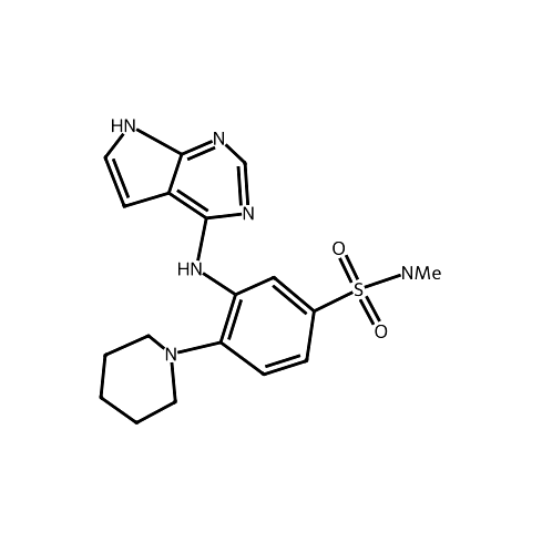 CNS(=O)(=O)c1ccc(N2CCCCC2)c(Nc2ncnc3[nH]ccc23)c1